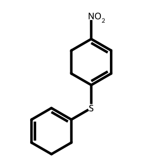 O=[N+]([O-])C1=CC=C(SC2=CC=CCC2)CC1